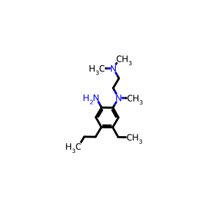 CCCc1cc(N)c(N(C)CCN(C)C)cc1CC